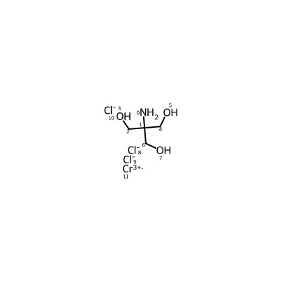 NC(CO)(CO)CO.[Cl-].[Cl-].[Cl-].[Cr+3]